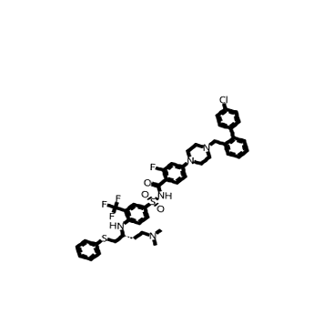 CN(C)CC[C@H](CSc1ccccc1)Nc1ccc(S(=O)(=O)NC(=O)c2ccc(N3CCN(Cc4ccccc4-c4ccc(Cl)cc4)CC3)cc2F)cc1C(F)(F)F